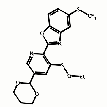 CCOSc1cc(C2OCCCO2)cnc1-c1nc2cc(SC(F)(F)F)ccc2o1